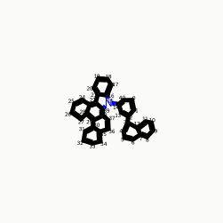 c1cc(-c2cccc3ccccc23)cc(-n2c3ccccc3c3c4ccccc4c4c5ccccc5ccc4c32)c1